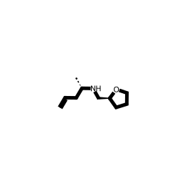 C=CC[C@H](C)NC[C@@H]1CCCO1